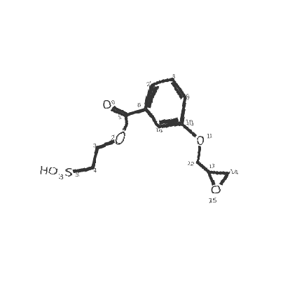 O=C(OCCS(=O)(=O)O)c1cccc(OCC2CO2)c1